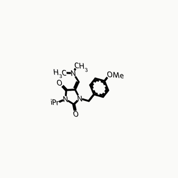 COc1ccc(CN2C(=O)N(C(C)C)C(=O)C2=CN(C)C)cc1